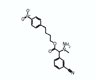 CN(N)C(C(=O)OCCCCc1ccc([N+](=O)[O-])cc1)c1cccc(C#N)c1